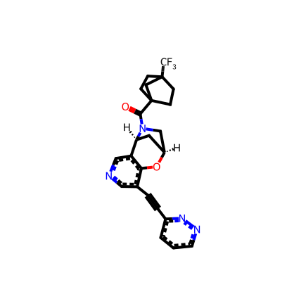 O=C(N1C[C@@H]2C[C@H]1c1cncc(C#Cc3cccnn3)c1O2)C12CCC(C(F)(F)F)(CC1)C2